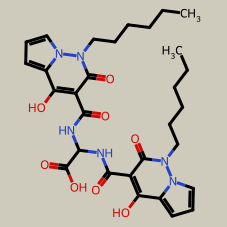 CCCCCCn1c(=O)c(C(=O)NC(NC(=O)c2c(O)c3cccn3n(CCCCCC)c2=O)C(=O)O)c(O)c2cccn21